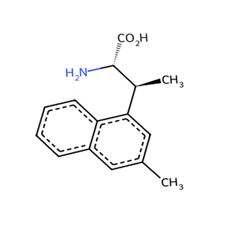 Cc1cc([C@H](C)[C@H](N)C(=O)O)c2ccccc2c1